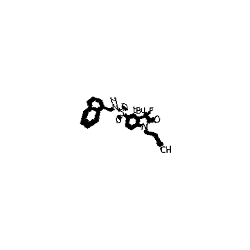 C#CCCN1C(=O)C(F)(C(C)(C)C)c2cc(S(=O)(=O)NCc3cccc4ccccc34)ccc21